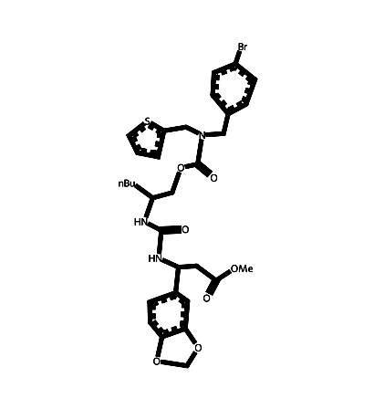 CCCCC(COC(=O)N(Cc1ccc(Br)cc1)Cc1cccs1)NC(=O)NC(CC(=O)OC)c1ccc2c(c1)OCO2